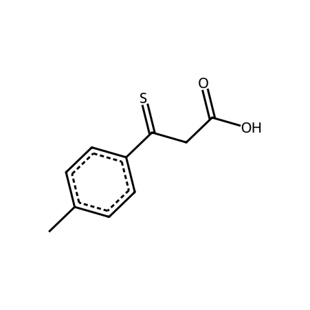 Cc1ccc(C(=S)CC(=O)O)cc1